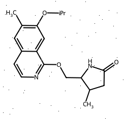 Cc1cc2ccnc(OCC3NC(=O)CC3C)c2cc1OC(C)C